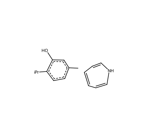 C1=CC=CNC=C1.Cc1ccc(C(C)C)c(O)c1